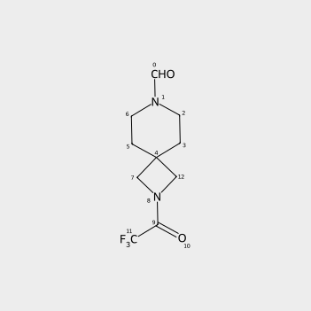 O=CN1CCC2(CC1)CN(C(=O)C(F)(F)F)C2